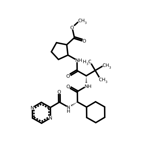 COC(=O)C1CCCC1NC(=O)[C@@H](NC(=O)[C@@H](NC(=O)c1cnccn1)C1CCCCC1)C(C)(C)C